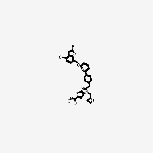 COC(=O)c1cc2c(nc(CC3CC=C(c4cccc(OCc5ccc(Cl)c6cc(F)oc56)n4)CC3)n2C[C@@H]2CCO2)s1